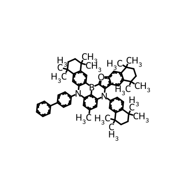 Cc1cc2c3c(c1)N(c1ccc4c(c1)C(C)(C)CCC4(C)C)c1c(oc4cc5c(cc14)C(C)(C)CCC5(C)C)B3c1cc3c(cc1N2c1ccc(-c2ccccc2)cc1)C(C)(C)CCC3(C)C